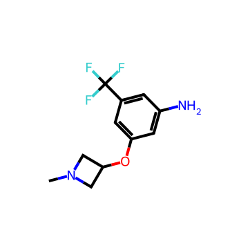 CN1CC(Oc2cc(N)cc(C(F)(F)F)c2)C1